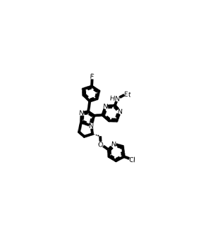 CCNc1nccc(-c2c(-c3ccc(F)cc3)nc3n2[C@H](COc2ccc(Cl)cn2)CC3)n1